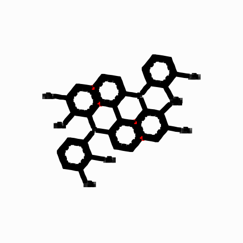 CCCCc1cccc(P(c2ccccc2-c2ccccc2P(c2cccc(CCCC)c2CCCC)c2cccc(CCCC)c2CCCC)c2cccc(CCCC)c2CCCC)c1CCCC